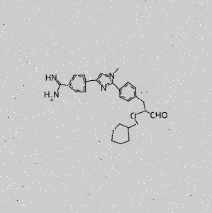 Cn1cc(-c2ccc(C(=N)N)cc2)nc1-c1ccc(CC(C=O)OCC2CCCCC2)cc1